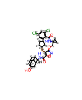 O=C(NC1(COc2noc(C(=O)N[C@H]3C4CC5CC3C[C@](O)(C5)C4)c2SC2CCCC2)CC1)c1ccc(Cl)cc1Cl